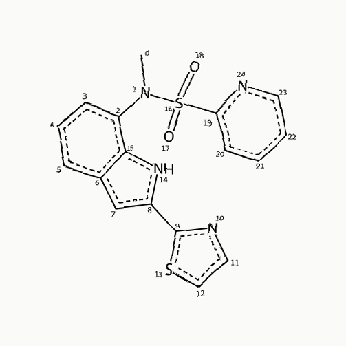 CN(c1cccc2cc(-c3nccs3)[nH]c12)S(=O)(=O)c1ccccn1